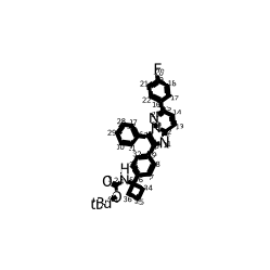 CC(C)(C)OC(=O)NC1(c2ccc(-c3nc4ccc(-c5ccc(F)cc5)nn4c3-c3ccccc3)cc2)CCC1